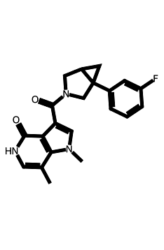 Cc1c[nH]c(=O)c2c(C(=O)N3CC4CC4(c4cccc(F)c4)C3)cn(C)c12